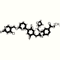 COC(=O)c1ccc2nc(Cc3cc(F)c(-c4cccc(OCc5cnc(Br)cc5Cl)n4)cc3F)n(C[C@@H]3CCO3)c2c1